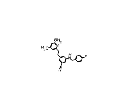 Cc1cc(N)nc(CCc2cc(C#N)cc(NCc3ccc(F)cc3)c2)c1